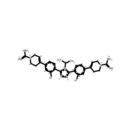 CC(C)n1c(-c2ccc(C3=CCN(C(=N)N)CC3)cc2F)nnc1-c1ccc(C2=CCN(C(=N)N)CC2)cc1F